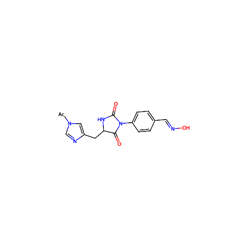 CC(=O)n1cnc(CC2NC(=O)N(c3ccc(C=NO)cc3)C2=O)c1